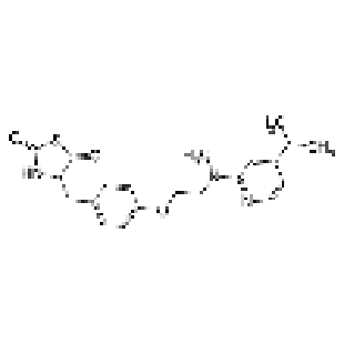 CC(C)c1ccnc(N(C)CCOc2ccc(CC3NC(=O)SC3=O)cc2)c1